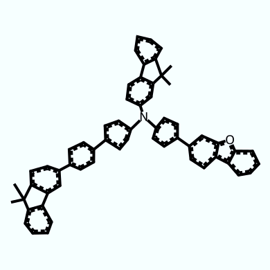 CC1(C)c2ccccc2-c2cc(-c3ccc(-c4ccc(N(c5ccc(-c6ccc7c(c6)oc6ccccc67)cc5)c5ccc6c(c5)C(C)(C)c5ccccc5-6)cc4)cc3)ccc21